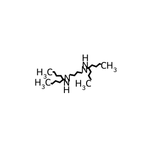 CCCCC1(CCCC)NN1CCCCN1NC1(CCCC)CCCC